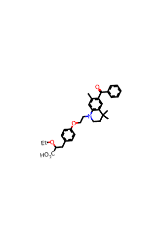 CCOC(Cc1ccc(OCCN2CCC(C)(C)c3cc(C(=O)c4ccccc4)c(C)cc32)cc1)C(=O)O